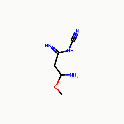 COC(N)CC(=N)NC#N